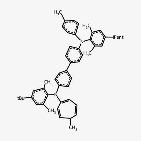 CCCC(C)c1cc(C)c(N(c2ccc(C)cc2)c2ccc(-c3ccc(N(C4=CC=CC(C)C=C4)c4c(C)cc(C(C)(C)C)cc4C)cc3)cc2)c(C)c1